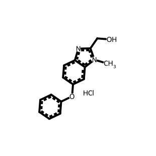 Cl.Cn1c(CO)nc2ccc(Oc3ccccc3)cc21